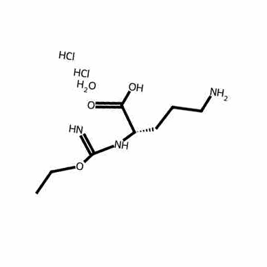 CCOC(=N)N[C@@H](CCCN)C(=O)O.Cl.Cl.O